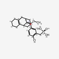 CO/C(=C1\C2CCCC1C1=C(CCCC1)C2)c1ccc(Cl)c(CP(=O)(O)O)c1